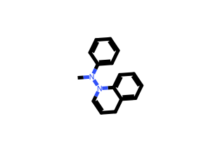 CN(c1ccccc1)N1C=CCc2ccccc21